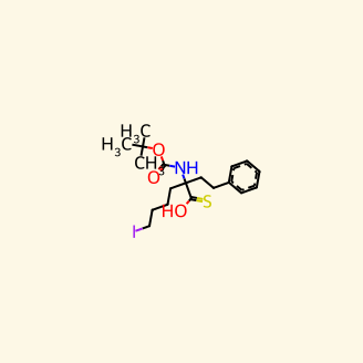 CC(C)(C)OC(=O)NC(CCCCI)(CCc1ccccc1)C(O)=S